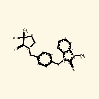 O=C1N(Cc2ccc(Cn3c(=O)n(P)c4ccccc43)cc2)CCC1(F)P